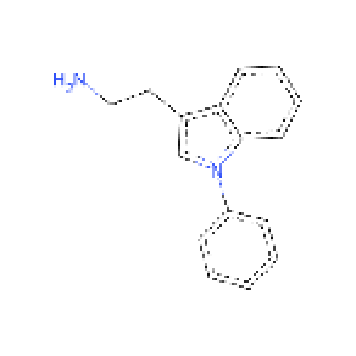 NCCc1cn(-c2ccccc2)c2ccccc12